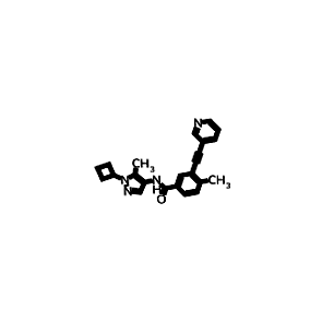 Cc1ccc(C(=O)Nc2cnn(C3CCC3)c2C)cc1C#Cc1cccnc1